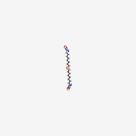 O=C=NCCCCCCCCOCCCCCCCCN=C=O